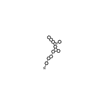 N#Cc1ccc(-c2ccc3cc(-c4ccc5c(c4)c4ccccc4c4cc6c(cc54)c4cc5cc7ccccc7cc5cc4n6-c4ccccc4)ccc3c2)cc1